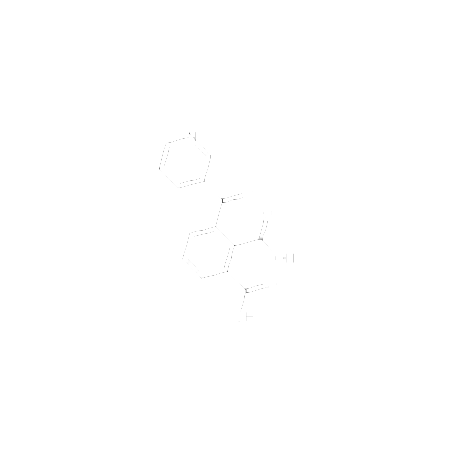 O=C(O)c1cccc(C(=O)c2cccnc2)c1C(=O)O